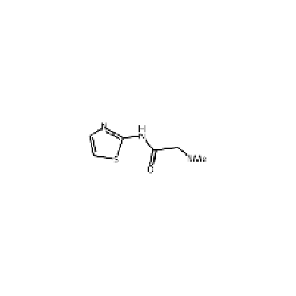 CNCC(=O)Nc1nccs1